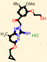 COc1c(OCCO)cc(C(=O)Cn2nc3c(C)cc(OCC4CC4)nn3c2=N)cc1C(C)(C)C.Cl